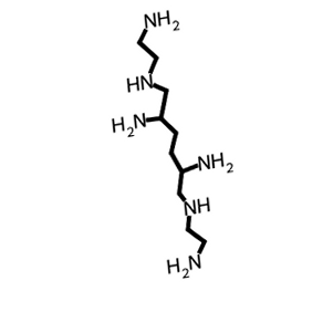 NCCNCC(N)CCC(N)CNCCN